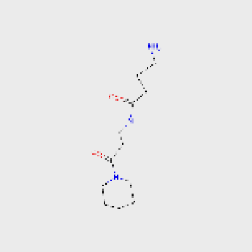 NCCCC(=O)NCCC(=O)N1CCCCC1